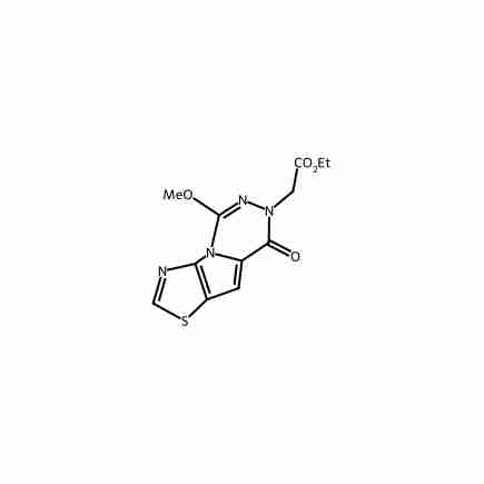 CCOC(=O)Cn1nc(OC)n2c(cc3scnc32)c1=O